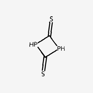 S=C1PC(=S)P1